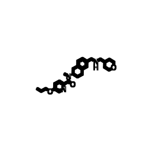 CCCOc1ccc(C(=O)N(C)[C@H]2CCc3cc(CNCC4CCOCC4)ccc3C2)nc1